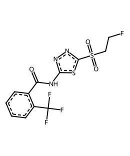 O=C(Nc1nnc(S(=O)(=O)CCF)s1)c1ccccc1C(F)(F)F